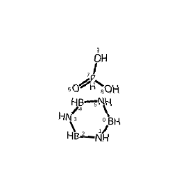 B1NBNBN1.O=[PH](O)O